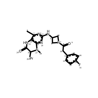 Cc1nc(NC2CN(C(=O)Cc3ccc(F)cc3)C2)nc2c1NC(=O)C(C(C)C)N2C